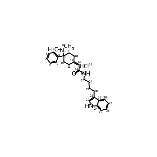 CN(C)C1(c2ccccc2)CCC(=CC(=O)NCCCCc2c[nH]c3ccccc23)CC1.Cl